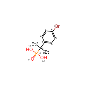 CCC(CC)(c1ccc(Br)cc1)P(=O)(O)O